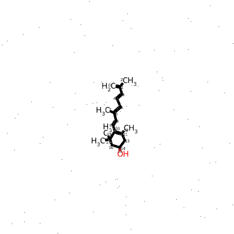 C=C(C)/C=C/C=C(C)/C=C/C1=C(C)CC(O)CC1(C)C